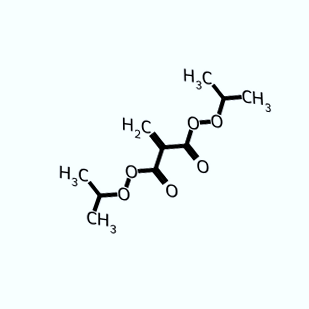 C=C(C(=O)OOC(C)C)C(=O)OOC(C)C